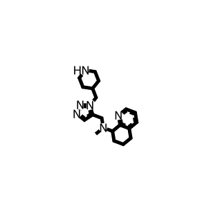 CN(Cc1cnnn1CC1CCNCC1)C1CCCc2cccnc21